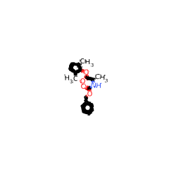 CC1CCC(C)C1OC(=O)[C@@H](C)NC(=O)OCc1ccccc1